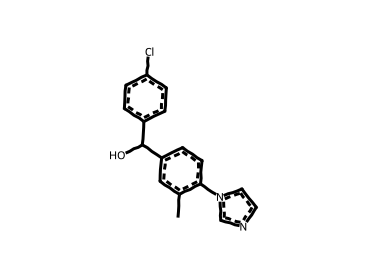 Cc1cc(C(O)c2ccc(Cl)cc2)ccc1-n1ccnc1